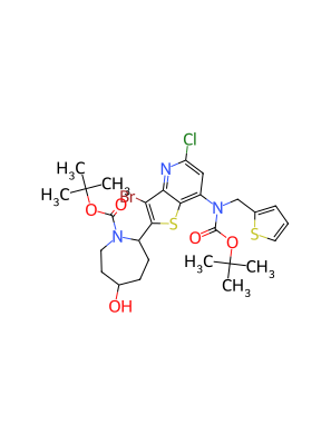 CC(C)(C)OC(=O)N(Cc1cccs1)c1cc(Cl)nc2c(Br)c(C3CCC(O)CCN3C(=O)OC(C)(C)C)sc12